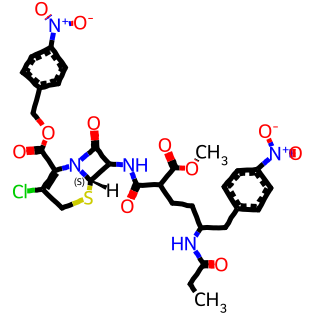 CCC(=O)NC(CCC(C(=O)NC1C(=O)N2C(C(=O)OCc3ccc([N+](=O)[O-])cc3)=C(Cl)CS[C@@H]12)C(=O)OC)Cc1ccc([N+](=O)[O-])cc1